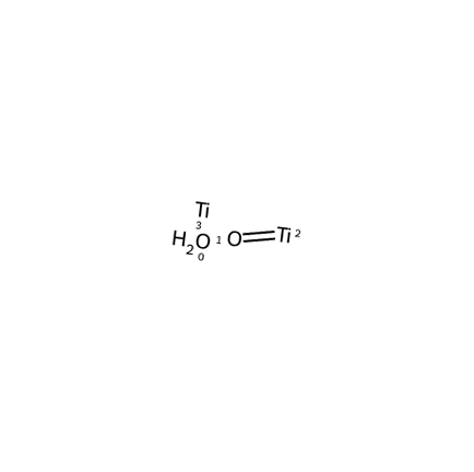 O.[O]=[Ti].[Ti]